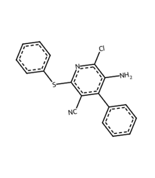 N#Cc1c(Sc2ccccc2)nc(Cl)c(N)c1-c1ccccc1